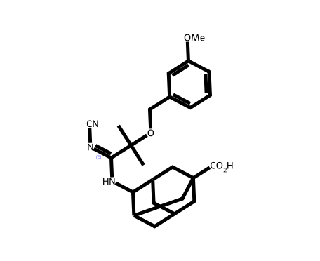 COc1cccc(COC(C)(C)/C(=N\C#N)NC2C3CC4CC2CC(C(=O)O)(C4)C3)c1